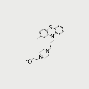 COCCN1CCN(CCCN2c3ccccc3Sc3ccc(C)cc32)CC1